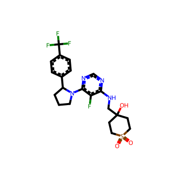 O=S1(=O)CCC(O)(CNc2ncnc(N3CCCC3c3ccc(C(F)(F)F)cc3)c2F)CC1